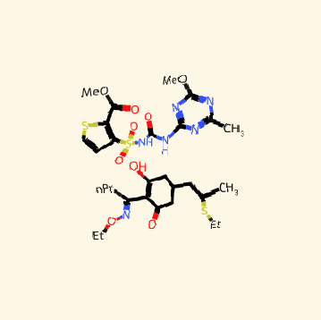 CCCC(=NOCC)C1=C(O)CC(CC(C)SCC)CC1=O.COC(=O)c1sccc1S(=O)(=O)NC(=O)Nc1nc(C)nc(OC)n1